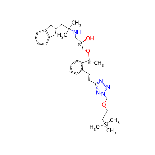 C[C@@H](OC[C@H](O)CNC(C)(C)CC1Cc2ccccc2C1)c1ccccc1C=Cc1nnn(COCC[Si](C)(C)C)n1